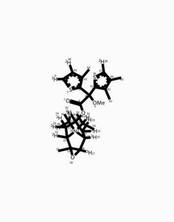 [2H]c1sc(C(OC)(C(=O)OC2([2H])C([2H])([2H])C3([2H])C4([2H])OC4(C)C([2H])(C2([2H])[2H])[N+]3(C([2H])([2H])C)C([2H])(C)C)c2sc([2H])c(C)c2C)c(C)c1[2H]